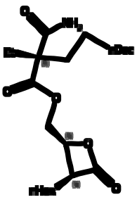 CCCCCCCCCCCC[C@@](CC)(C(N)=O)C(=O)OC[C@H]1OC(=O)[C@H]1CCCCCC